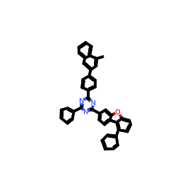 Cc1cc(-c2ccc(-c3nc(-c4ccccc4)nc(-c4ccc5c(c4)oc4cccc(-c6ccccc6)c45)n3)cc2)cc2ccccc12